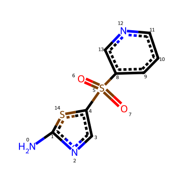 Nc1ncc(S(=O)(=O)c2cccnc2)s1